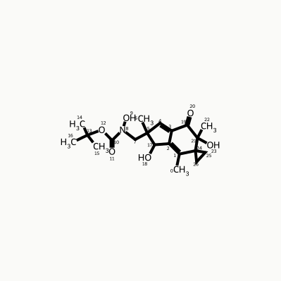 CC1=C2C(=CC(C)(CN(O)C(=O)OC(C)(C)C)C2O)C(=O)C(C)(O)C12CC2